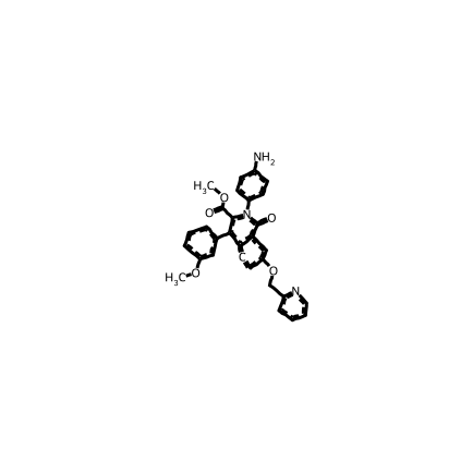 COC(=O)c1c(-c2cccc(OC)c2)c2ccc(OCc3ccccn3)cc2c(=O)n1-c1ccc(N)cc1